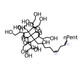 CCCCC/C=C\C/C=C\CCCCC(C(=O)C(O)CO)(C(=O)C(O)CO)C(C(=O)C(O)CO)(C(=O)C(O)CO)C(C(=O)O)(C(=O)C(O)CO)C(=O)C(O)CO